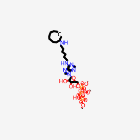 COOP(=O)(O)OP(=O)(OOC)OP(=O)(OCC1OC(n2cnc3c(NCCCCCCNC4CCCCCCCCC4)ncnc32)C(O)C1O)OOC